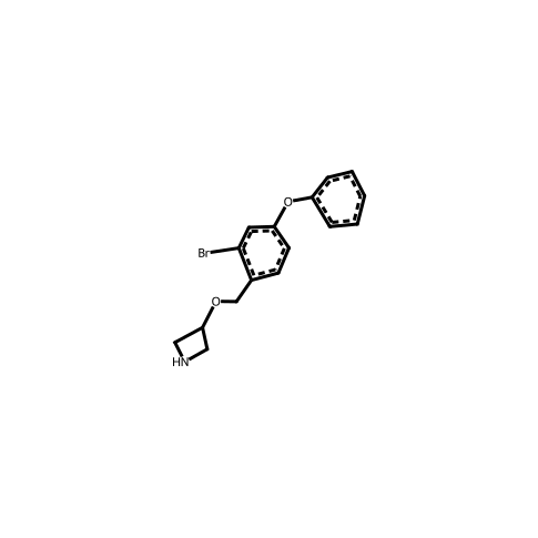 Brc1cc(Oc2ccccc2)ccc1COC1CNC1